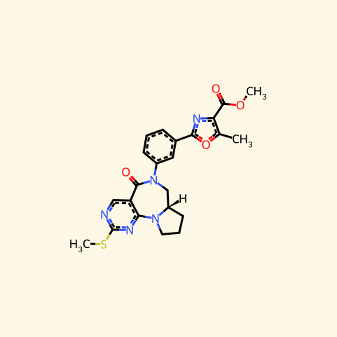 COC(=O)c1nc(-c2cccc(N3C[C@@H]4CCCN4c4nc(SC)ncc4C3=O)c2)oc1C